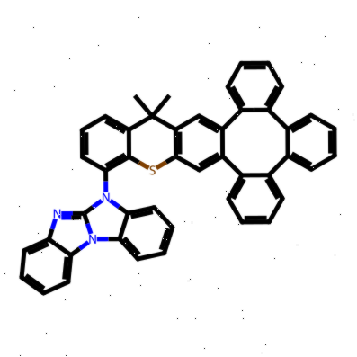 CC1(C)c2cc3c(cc2Sc2c(-n4c5ccccc5n5c6ccccc6nc45)cccc21)-c1ccccc1-c1ccccc1-c1ccccc1-3